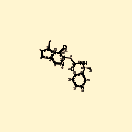 Cc1ccc2cnn(CC(=O)N[C@@H](C)c3cccnc3)c(=O)n12